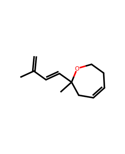 C=C(C)C=CC1(C)CC=CCCO1